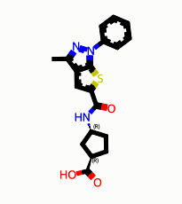 Cc1nn(-c2ccccc2)c2sc(C(=O)N[C@@H]3CC[C@@H](C(=O)O)C3)cc12